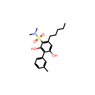 CCCCCc1cc(O)c(-c2cccc(C)c2)c(O)c1S(=O)(=O)N(C)C